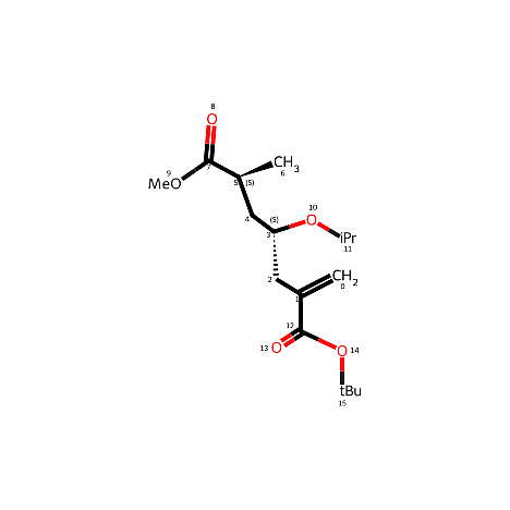 C=C(C[C@H](C[C@H](C)C(=O)OC)OC(C)C)C(=O)OC(C)(C)C